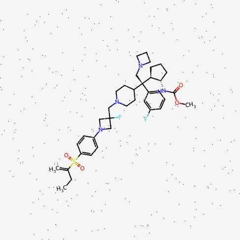 C=C(CC)S(=O)(=O)c1ccc(N2CC(F)(CN3CCC([C@@](CN4CCC4)(c4cccc(F)c4)[C@H]4CCC[C@@H]4NC(=O)OC)CC3)C2)cc1